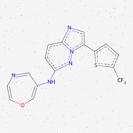 FC(F)(F)c1ccc(-c2cnc3ccc(NC4=COC=CN=C4)nn23)s1